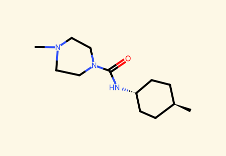 CN1CCN(C(=O)N[C@H]2CC[C@H](C)CC2)CC1